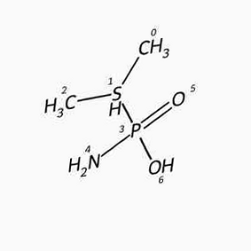 C[SH](C)P(N)(=O)O